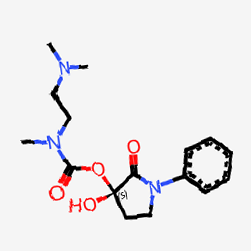 CN(C)CCN(C)C(=O)O[C@@]1(O)CCN(c2ccccc2)C1=O